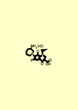 Cl.N[C@@H]1CCCCN(c2c(F)cc3c(=O)c(C(=O)O)cn(C4CC4)c3c2Cl)C1